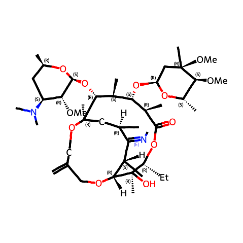 C=C1CO[C@@H]2[C@@H](C)/C(=N/C)[C@H](C)C[C@@](C)(OC1)[C@H](O[C@@H]1O[C@H](C)C[C@H](N(C)C)[C@H]1OC)[C@@H](C)[C@H](O[C@H]1C[C@@](C)(OC)[C@@H](OC)[C@H](C)O1)[C@@H](C)C(=O)O[C@H](CC)[C@@]2(C)O